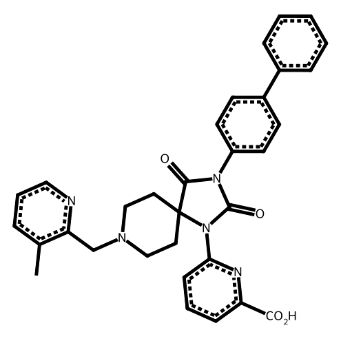 Cc1cccnc1CN1CCC2(CC1)C(=O)N(c1ccc(-c3ccccc3)cc1)C(=O)N2c1cccc(C(=O)O)n1